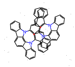 c1ccc(-c2cc(-n3c4ccccc4c4ccc5c6ccccc6n(-c6cccc7ccccc67)c5c43)cc(-n3c4ccccc4c4ccc5c6ccccc6n(-c6cccc7ccccc67)c5c43)c2)cc1